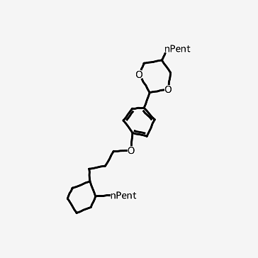 CCCCCC1COC(c2ccc(OCCCC3CCCCC3CCCCC)cc2)OC1